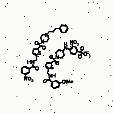 COc1cccc(C(=O)NCc2ccc(S(=O)(=O)N3CCC(Nc4ccc(S(=O)(=O)C(F)(F)F)cc4[N+](=O)[O-])CC3)s2)c1.O=C(NCc1ccc(S(=O)(=O)N2CCN(CCCc3ccccc3)CC2)s1)c1cccc([N+](=O)[O-])c1